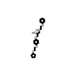 OC(CNCCOc1ccccc1)COc1ccc(OCCOC2CCCC2)cc1